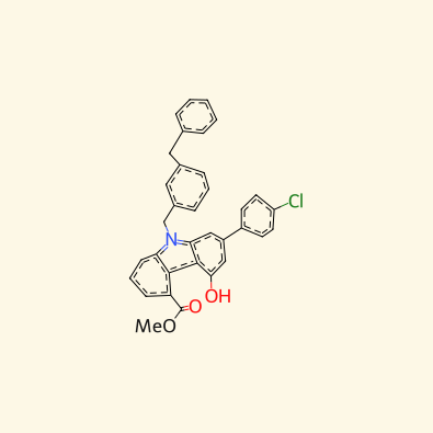 COC(=O)c1cccc2c1c1c(O)cc(-c3ccc(Cl)cc3)cc1n2Cc1cccc(Cc2ccccc2)c1